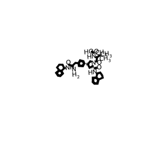 CC(C)(C)C(NC(=O)O)C(=O)N1C[C@@H](c2ccc(CC(N)C(=O)N[C@@H]3CCCc4ccccc43)cc2)C[C@H]1C(=O)N[C@@H]1CCCc2ccccc21